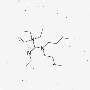 CCCCN(CCCC)/C(=N\CC)[N+](CC)(CC)CC